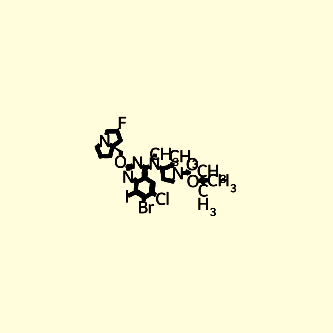 CC1C(N(C)c2nc(OC[C@@]34CCCN3C[C@H](F)C4)nc3c(I)c(Br)c(Cl)cc23)CCN1C(=O)OC(C)(C)C